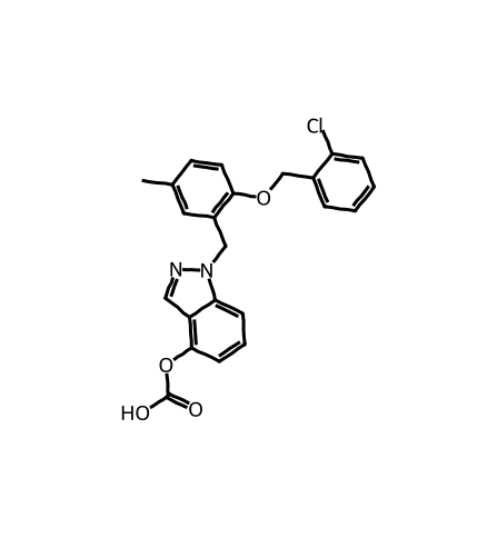 Cc1ccc(OCc2ccccc2Cl)c(Cn2ncc3c(OC(=O)O)cccc32)c1